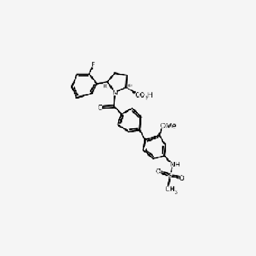 COc1cc(NS(C)(=O)=O)ccc1-c1ccc(C(=O)N2[C@@H](c3ccccc3F)CC[C@H]2C(=O)O)cc1